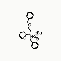 CC(C)(C)[S@+]([O-])N(Cc1ccccc1)[C@@H](CCOCc1ccccc1)[C@@H]1CCC=CO1